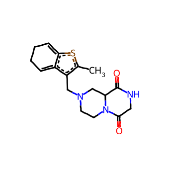 Cc1sc2c(c1CN1CCN3C(=O)CNC(=O)C3C1)=CCCC=2